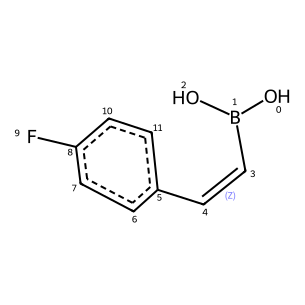 OB(O)/C=C\c1ccc(F)cc1